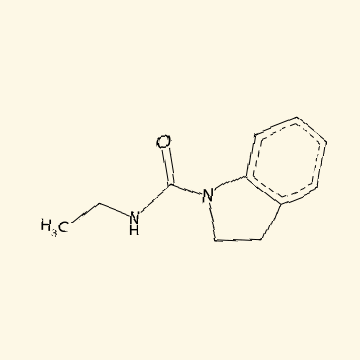 CCNC(=O)N1CCc2ccccc21